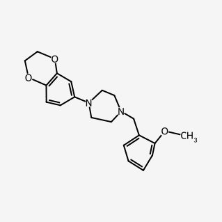 COc1ccccc1CN1CCN(c2ccc3c(c2)OCCO3)CC1